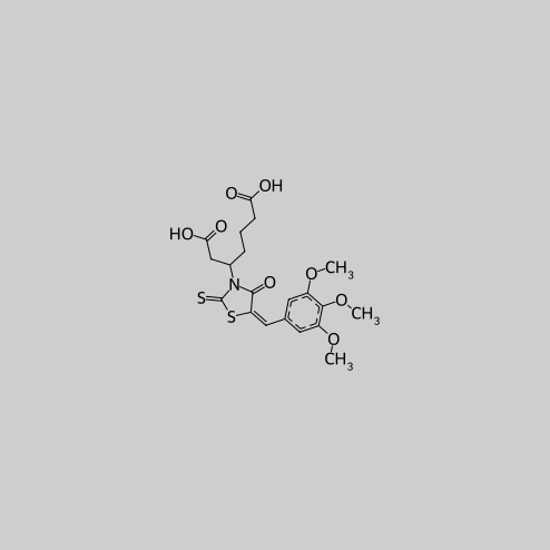 COc1cc(C=C2SC(=S)N(C(CCCC(=O)O)CC(=O)O)C2=O)cc(OC)c1OC